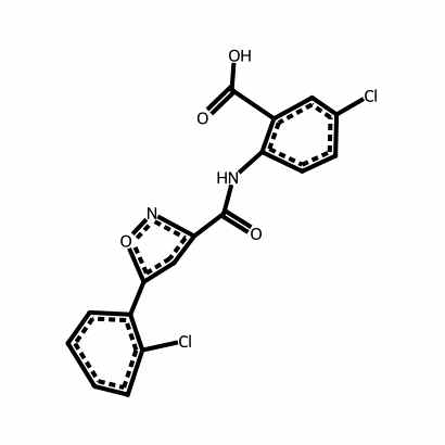 O=C(Nc1ccc(Cl)cc1C(=O)O)c1cc(-c2ccccc2Cl)on1